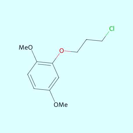 COc1ccc(OC)c(OCCCCl)c1